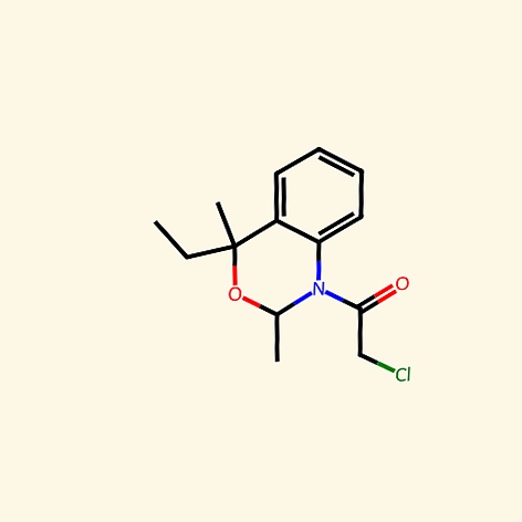 CCC1(C)OC(C)N(C(=O)CCl)c2ccccc21